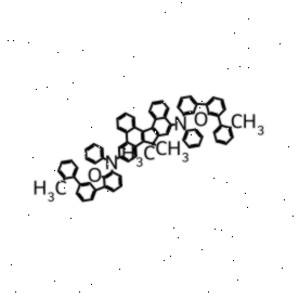 Cc1ccccc1-c1cccc2c1oc1c(N(c3ccccc3)c3ccc4c5c(c6ccccc6c4c3)-c3c(cc(N(c4ccccc4)c4cccc6c4oc4c(-c7ccccc7C)cccc46)c4ccccc34)C5(C)C)cccc12